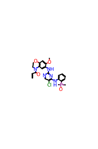 C=CC(=O)N1CCOc2cc(OC)c(Nc3ncc(Cl)c(Nc4ccccc4P(C)(C)=O)n3)cc21